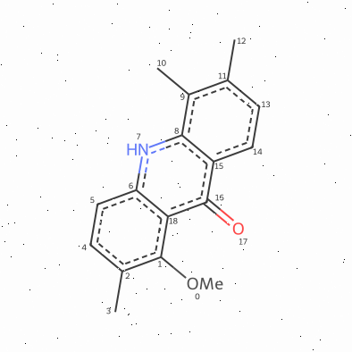 COc1c(C)ccc2[nH]c3c(C)c(C)ccc3c(=O)c12